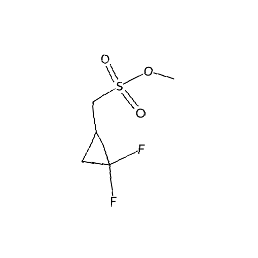 COS(=O)(=O)CC1CC1(F)F